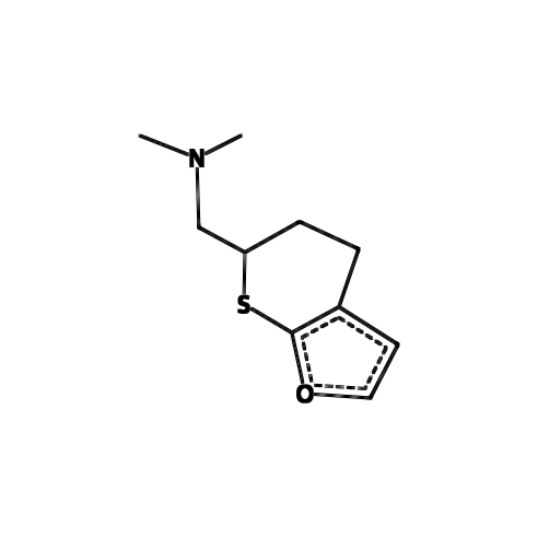 CN(C)CC1CCc2ccoc2S1